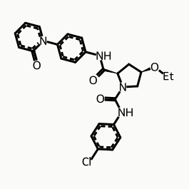 CCO[C@@H]1C[C@H](C(=O)Nc2ccc(-n3ccccc3=O)cc2)N(C(=O)Nc2ccc(Cl)cc2)C1